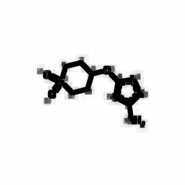 Nc1nnc(OC2CCS(=O)(=O)CC2)s1